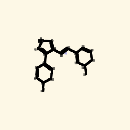 CC1C=CC(c2n[nH]cc2/C=C/C2=CC(C)CC=C2)=CC1